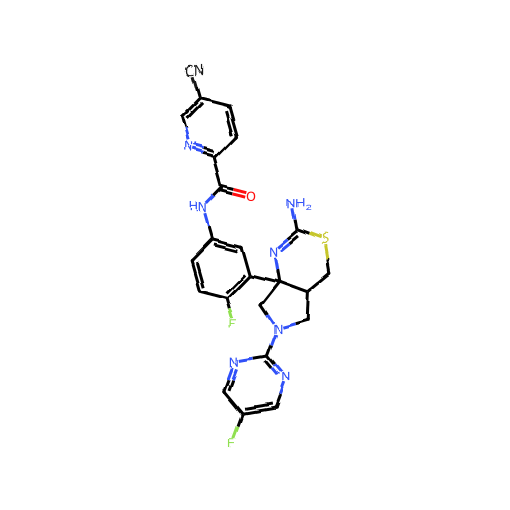 N#Cc1ccc(C(=O)Nc2ccc(F)c(C34CN(c5ncc(F)cn5)CC3CSC(N)=N4)c2)nc1